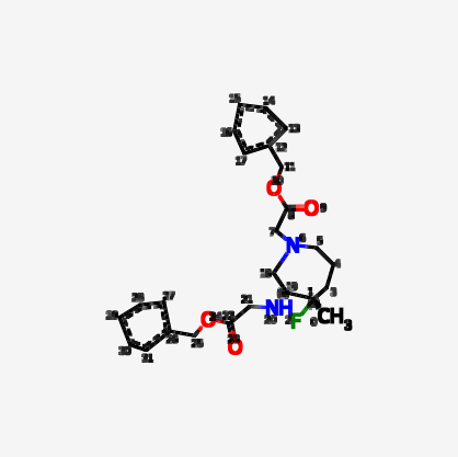 C[C@]1(F)CCCN(CC(=O)OCc2ccccc2)C[C@H]1NCC(=O)OCc1ccccc1